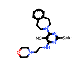 CSc1nc(NCCN2CCOCC2)c(C#N)c(N2CCc3ccccc3CC2)n1